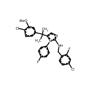 COc1cc(C(C)(C)c2cnc(NCc3ccc(Cl)cc3F)n2-c2ccc(F)cc2)ccc1Cl